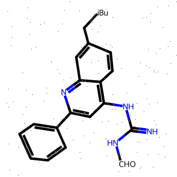 CCC(C)Cc1ccc2c(NC(=N)NC=O)cc(-c3ccccc3)nc2c1